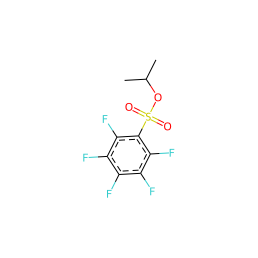 CC(C)OS(=O)(=O)c1c(F)c(F)c(F)c(F)c1F